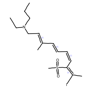 CCCN(CC)C/C=C(C)/C=C/C=C\C(=C(/C)I)S(C)(=O)=O